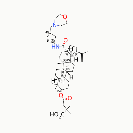 C=C(C)[C@@H]1CC[C@]2(C(=O)N[C@@H]3C=C[C@H](CN4CCOCC4)C3)CC[C@]3(C)[C@H](CC[C@@H]4[C@@]5(C)CC[C@H](OC(=O)CC(C)(C)C(=O)O)C(C)(C)[C@@H]5CC[C@]43C)[C@@H]12